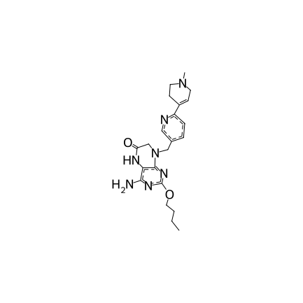 CCCCOc1nc(N)c2c(n1)N(Cc1ccc(C3=CCN(C)CC3)nc1)CC(=O)N2